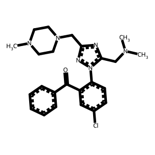 CN(C)Cc1nc(CN2CCN(C)CC2)nn1-c1ccc(Cl)cc1C(=O)c1ccccc1